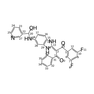 O=C(C(C(=O)c1cc(F)cc(F)c1)=C1Nc2ccc(NC(O)c3cccnc3)cc2N1)c1ccccc1